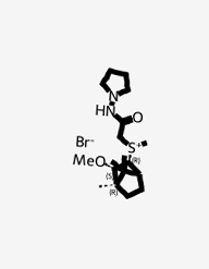 CO[C@@H]1[C@H]([S+](C)CC(=O)NN2CCCC2)C2CC[C@]1(C)C2(C)C.[Br-]